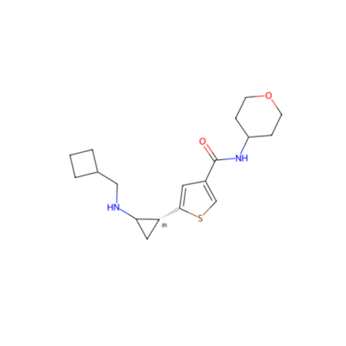 O=C(NC1CCOCC1)c1csc([C@@H]2CC2NCC2CCC2)c1